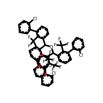 FC(F)(F)c1c(-c2ccccc2Cl)cccc1C(OC(c1cccc(-c2ccccc2Cl)c1C(F)(F)F)c1cccc(-c2ccccc2Cl)c1C(F)(F)F)c1cccc(-c2ccccc2Cl)c1C(F)(F)F